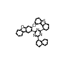 Clc1cc2oc3ccccc3c2cc1-c1nc(-c2cccc3ccccc23)nc(-c2cccc3sc4ccccc4c23)n1